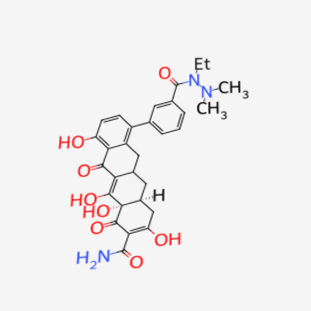 CCN(C(=O)c1cccc(-c2ccc(O)c3c2CC2C[C@H]4CC(O)=C(C(N)=O)C(=O)[C@@]4(O)C(O)=C2C3=O)c1)N(C)C